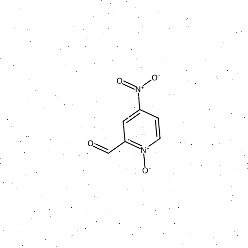 O=Cc1cc([N+](=O)[O-])cc[n+]1[O-]